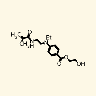 C=C(C)C(=O)NCCN(CC)c1ccc(C(=O)OCCO)cc1